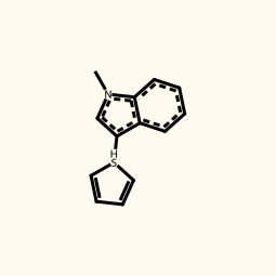 Cn1cc([SH]2C=CC=C2)c2ccccc21